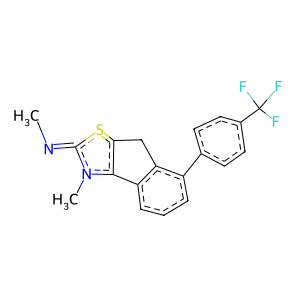 CN=c1sc2c(n1C)-c1cccc(-c3ccc(C(F)(F)F)cc3)c1C2